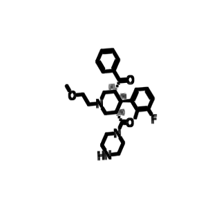 COCCN1C[C@H](C(=O)c2ccccc2)[C@@H](c2cccc(F)c2C)[C@H](C(=O)N2CCNCC2)C1